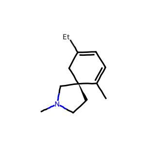 CCC1=CC=C(C)[C@@]2(CCN(C)C2)C1